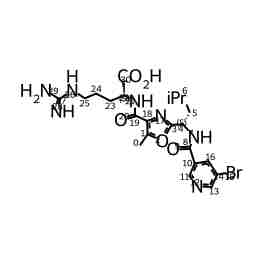 Cc1oc([C@H](CC(C)C)NC(=O)c2cncc(Br)c2)nc1C(=O)N[C@@H](CCCNC(=N)N)C(=O)O